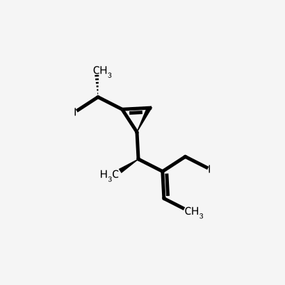 C/C=C(\CI)[C@@H](C)[C@@H]1C=C1[C@@H](C)I